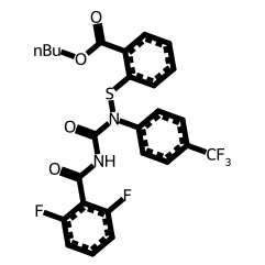 CCCCOC(=O)c1ccccc1SN(C(=O)NC(=O)c1c(F)cccc1F)c1ccc(C(F)(F)F)cc1